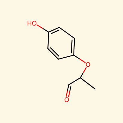 CC(C=O)Oc1ccc(O)cc1